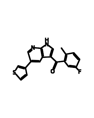 Cc1ccc(F)cc1C(=O)c1c[nH]c2ncc(-c3ccsc3)cc12